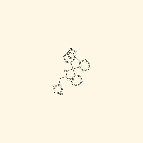 O=C(O)[C@H](Cc1c[nH]cn1)NC(c1ccccc1)(c1ccccc1)c1ccccc1-n1ccnc1